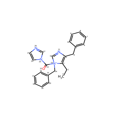 CCC1=C(Cc2ccccc2)N=C[N+]1(Cc1ccccc1)C(=O)n1ccnc1